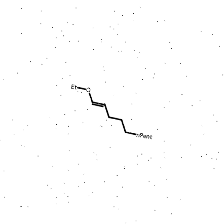 CCCCCCCCC=COCC